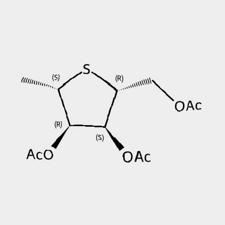 CC(=O)OC[C@H]1S[C@@H](C)[C@H](OC(C)=O)[C@@H]1OC(C)=O